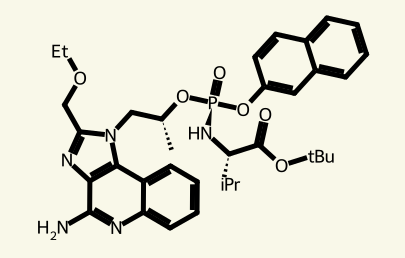 CCOCc1nc2c(N)nc3ccccc3c2n1C[C@@H](C)O[P@@](=O)(N[C@H](C(=O)OC(C)(C)C)C(C)C)Oc1ccc2ccccc2c1